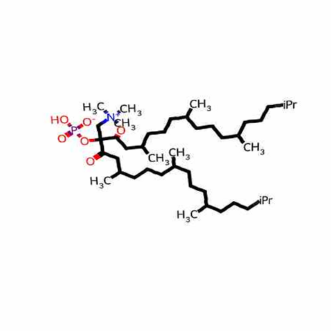 CC(C)CCCC(C)CCCC(C)CCCC(C)CC(=O)C(C[N+](C)(C)C)(OP(=O)([O-])O)C(=O)CC(C)CCCC(C)CCCC(C)CCCC(C)C